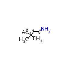 CC(=O)C(C)(C)CCN